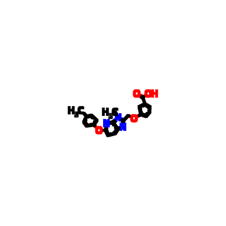 Cc1ccc(Oc2ccc3nc(COc4cccc(C(=O)O)c4)n(C)c3n2)cc1